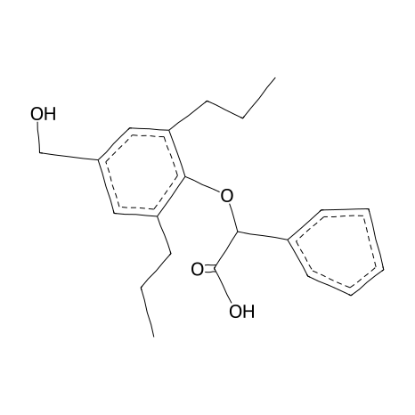 CCCc1cc(CO)cc(CCC)c1OC(C(=O)O)c1ccccc1